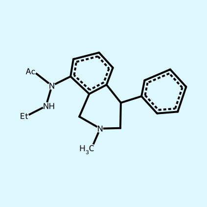 CCNN(C(C)=O)c1cccc2c1CN(C)CC2c1ccccc1